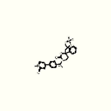 C[C@@H](c1ccc(-c2ccn(C)c(=O)c2)cc1)N1CCC(CC(C)(C)NS(C)(=O)=O)(c2ccccc2)OC1=O